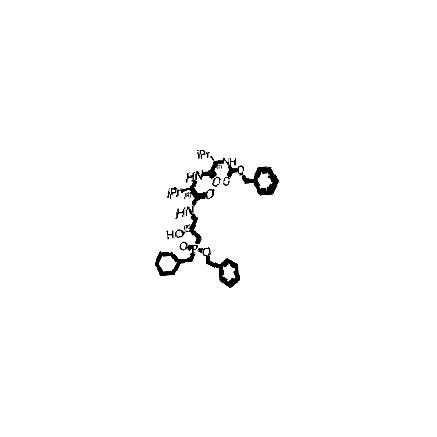 CC(C)[C@H](NC(=O)OCc1ccccc1)C(=O)N[C@@H](C(=O)NC[C@@H](O)CP(=O)(CC1CCCCC1)OCc1ccccc1)C(C)C